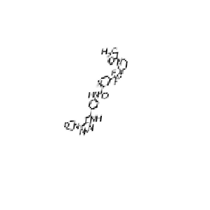 C=CC(=O)N1CCC[C@@H](OC(F)(F)c2ccnc(C(=O)Nc3ccc(-c4cc5c(N6CCOCC6)ncnc5[nH]4)cc3)c2)C1